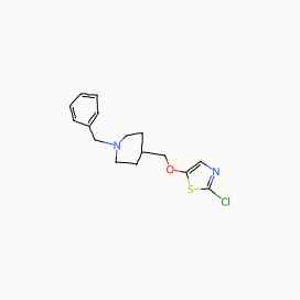 Clc1ncc(OCC2CCN(Cc3ccccc3)CC2)s1